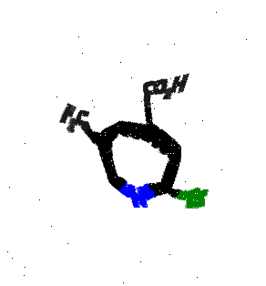 O=C(O)c1cc(Br)ncc1C(F)(F)F